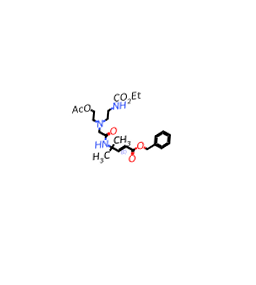 CCOC(=O)NCCN(CCOC(C)=O)CC(=O)NC(C)(C)/C=C/C(=O)OCc1ccccc1